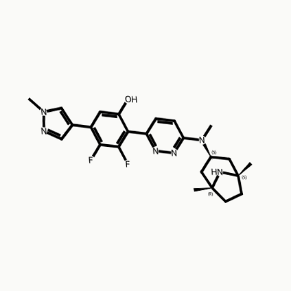 CN(c1ccc(-c2c(O)cc(-c3cnn(C)c3)c(F)c2F)nn1)[C@H]1C[C@]2(C)CC[C@](C)(C1)N2